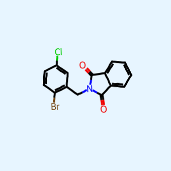 O=C1c2ccccc2C(=O)N1Cc1cc(Cl)ccc1Br